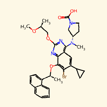 CO[C@@H](C)COc1nc(N(C)[C@H]2CCN(C(=O)O)C2)c2cc(C3CC3)c(Br)c(O[C@@H](C)c3cccc4ccccc34)c2n1